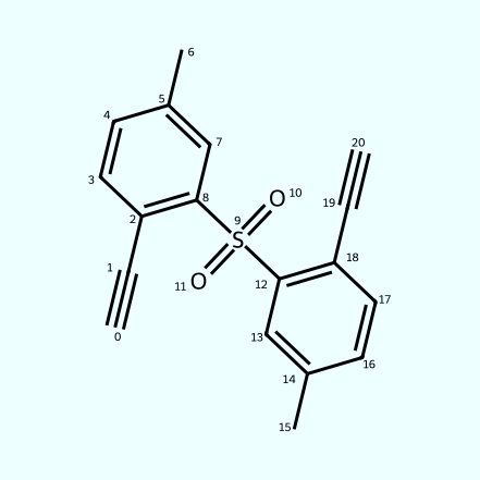 C#Cc1ccc(C)cc1S(=O)(=O)c1cc(C)ccc1C#C